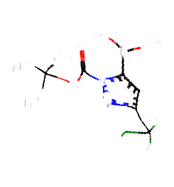 CC(C)(C)OC(=O)n1nc(C(F)(F)F)cc1B(O)O